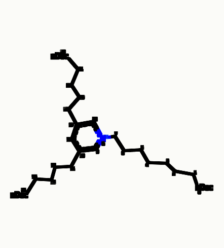 CCCCCCCCCCCCCCCCC[n+]1cc(CCCCCCCCCCCCCC)cc(CCCCCCCCCCCCCC)c1